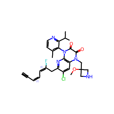 C#C/C=C\C=C(\F)Cc1nc2c(cc1Cl)n(CC1(OC)CNC1)c(=O)c(=O)n2-c1c(C)ccnc1C(C)C